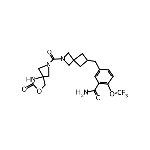 NC(=O)c1cc(CC2CC3(C2)CN(C(=O)N2CC4(COC(=O)N4)C2)C3)ccc1OC(F)(F)F